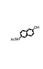 CC(=O)Nc1ccc2cc(O)ccc2c1